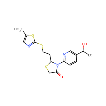 CCC(O)c1ccc(N2C(=O)CSC2CCSc2ncc(C(=O)O)s2)nc1